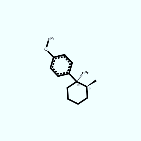 CCCOc1ccc([C@]2(CCC)CCCC[C@@H]2C)cc1